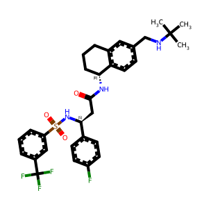 CC(C)(C)NCc1ccc2c(c1)CCC[C@H]2NC(=O)C[C@H](NS(=O)(=O)c1cccc(C(F)(F)F)c1)c1ccc(F)cc1